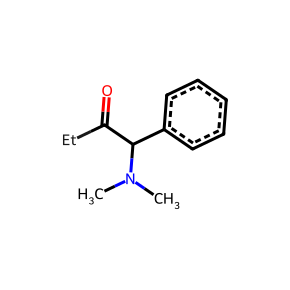 CCC(=O)C(c1ccccc1)N(C)C